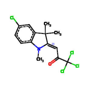 CN1/C(=C\C(=O)C(Cl)(Cl)Cl)C(C)(C)c2cc(Cl)ccc21